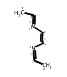 C\C=N/C=C\N=C\C